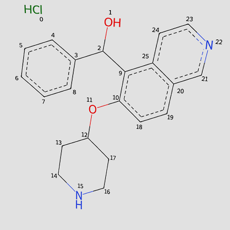 Cl.OC(c1ccccc1)c1c(OC2CCNCC2)ccc2cnccc12